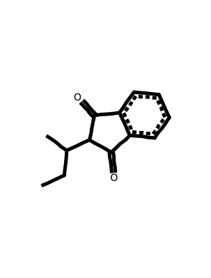 CCC(C)[C]1C(=O)c2ccccc2C1=O